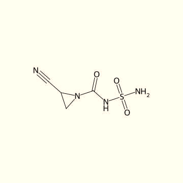 N#CC1CN1C(=O)NS(N)(=O)=O